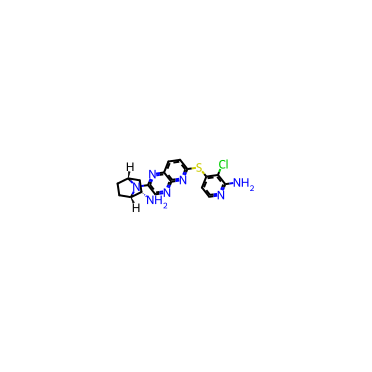 Nc1nccc(Sc2ccc3nc(N4[C@@H]5CC[C@H]4[C@@H](N)C5)cnc3n2)c1Cl